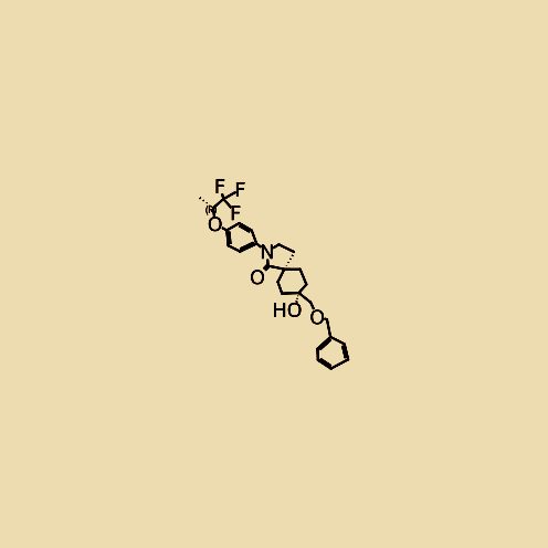 C[C@@H](Oc1ccc(N2CC[C@]3(CC[C@](O)(COCc4ccccc4)CC3)C2=O)cc1)C(F)(F)F